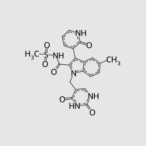 Cc1ccc2c(c1)c(-c1ccc[nH]c1=O)c(C(=O)NS(C)(=O)=O)n2Cc1c[nH]c(=O)[nH]c1=O